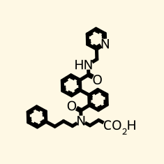 O=C(O)CCN(CCCc1ccccc1)C(=O)c1ccccc1-c1ccccc1C(=O)NCc1ccccn1